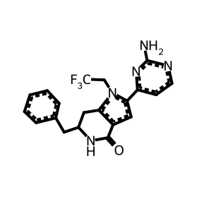 Nc1nccc(-c2cc3c(n2CC(F)(F)F)CC(Cc2ccccc2)NC3=O)n1